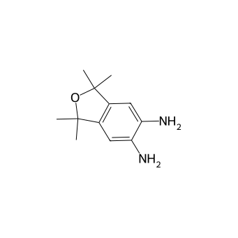 CC1(C)OC(C)(C)c2cc(N)c(N)cc21